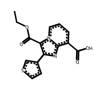 CCOC(=O)c1c(-c2ccsc2)nc2c(C(=O)O)cccn12